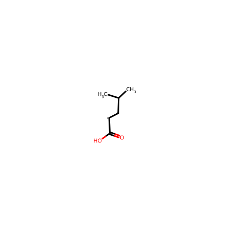 CC(C)C[C]C(=O)O